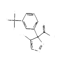 NC1=CN=NC1(C(=O)O)c1cccc(C(F)(F)F)c1